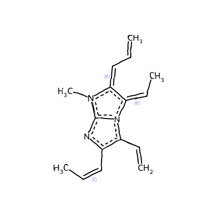 C=C/C=c1\c(=C/C)n2c(C=C)c(/C=C\C)nc2n1C